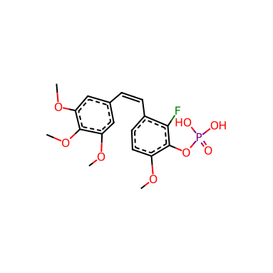 COc1cc(/C=C\c2ccc(OC)c(OP(=O)(O)O)c2F)cc(OC)c1OC